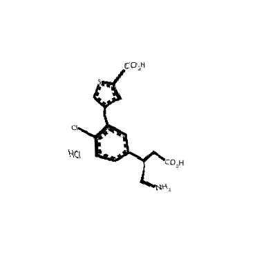 Cl.NC[C@H](CC(=O)O)c1ccc(Cl)c(-c2csc(C(=O)O)c2)c1